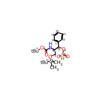 CC(C)(C)OC(=O)N[C@H](CO[Si](C)(C)C(C)(C)C)[C@H](O[SH](=O)=O)c1ccccc1